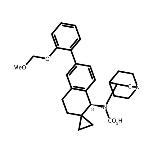 COCOc1ccccc1-c1ccc2c(c1)CCC1(CC1)[C@@H]2N(C(=O)O)C1CN2CCC1CC2